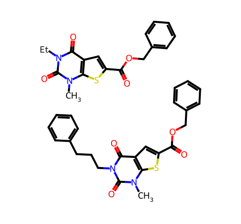 CCn1c(=O)c2cc(C(=O)OCc3ccccc3)sc2n(C)c1=O.Cn1c(=O)n(CCCc2ccccc2)c(=O)c2cc(C(=O)OCc3ccccc3)sc21